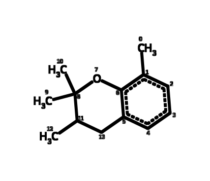 Cc1cccc2c1OC(C)(C)C(C)C2